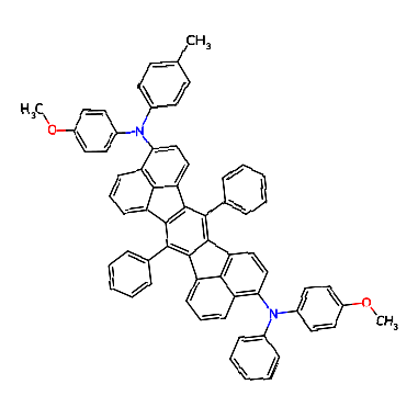 COc1ccc(N(c2ccccc2)c2ccc3c4c(-c5ccccc5)c5c6ccc(N(c7ccc(C)cc7)c7ccc(OC)cc7)c7cccc(c5c(-c5ccccc5)c4c4cccc2c43)c76)cc1